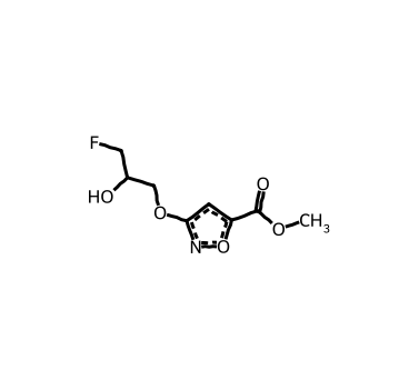 COC(=O)c1cc(OCC(O)CF)no1